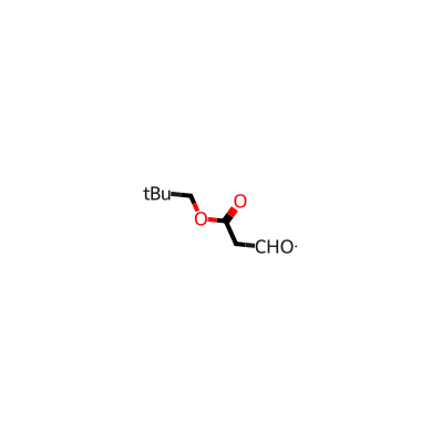 CC(C)(C)COC(=O)C[C]=O